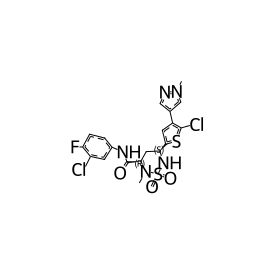 CN1[C@@H](C(=O)Nc2ccc(F)c(Cl)c2)C[C@@H](c2cc(-c3cnn(C)c3)c(Cl)s2)NS1(=O)=O